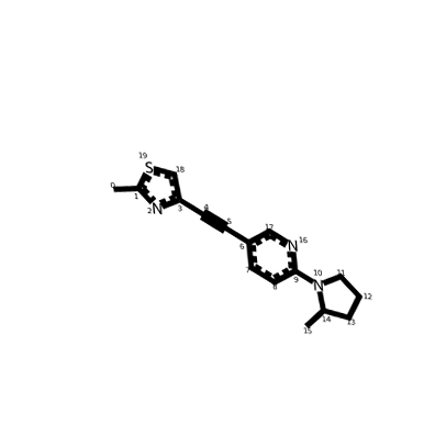 Cc1nc(C#Cc2ccc(N3CCCC3C)nc2)cs1